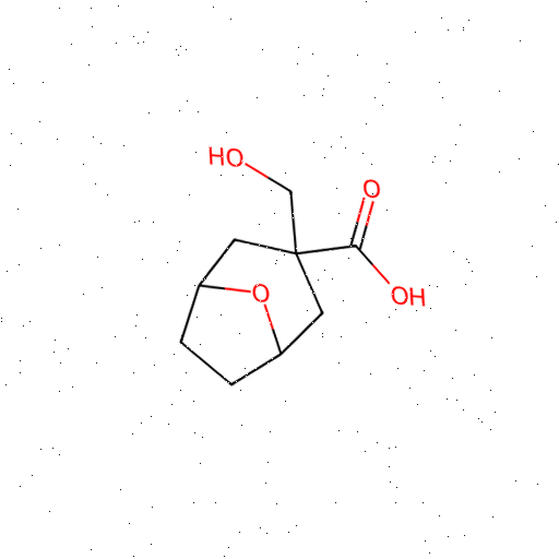 O=C(O)C1(CO)CC2CCC(C1)O2